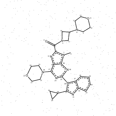 Cn1c(C(=O)N2CC(N3CCOCC3)C2)nc2c(N3CCOCC3)nc(-n3c(C4CC4)nc4ccccc43)nc21